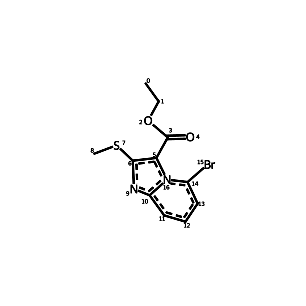 CCOC(=O)c1c(SC)nc2cccc(Br)n12